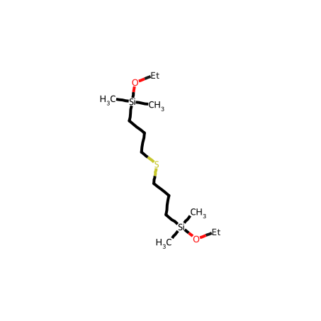 CCO[Si](C)(C)CCCSCCC[Si](C)(C)OCC